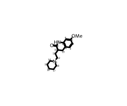 COc1ccc2c(c1)NC(=O)C(CCN1CC[CH]CC1)C2